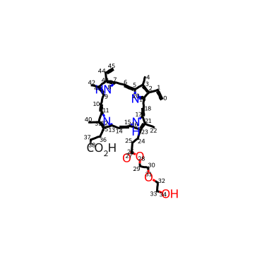 C=CC1=C(C)c2cc3[nH]c(cc4nc(cc5[nH]c(cc1n2)c(C)c5CCC(=O)OCCOCCO)C(CCC(=O)O)=C4C)c(C)c3C=C